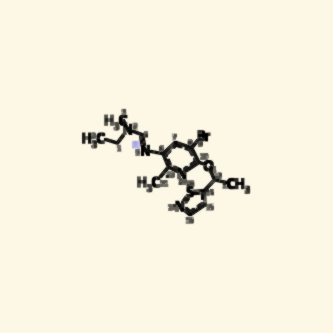 CCN(C)/C=N/c1cc(Br)c(OC(C)c2ccns2)nc1C